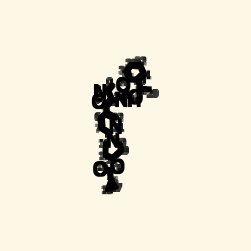 Cc1noc(-c2ccc(N3CCC(OC(=O)C4CC4)CC3)nc2)c1NC(=O)OC(C)c1ccccc1